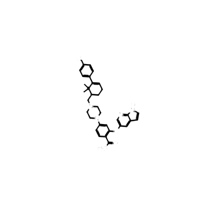 CC1(C)C(c2ccc(Cl)cc2)=CCCC1CN1CCN(c2ccc(C(=O)O)c(Oc3cnc4[nH]ccc4c3)c2)CC1